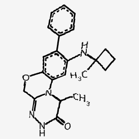 CC1C(=O)NN=C2COc3cc(-c4ccccc4)c(NC4(C)CCC4)cc3N21